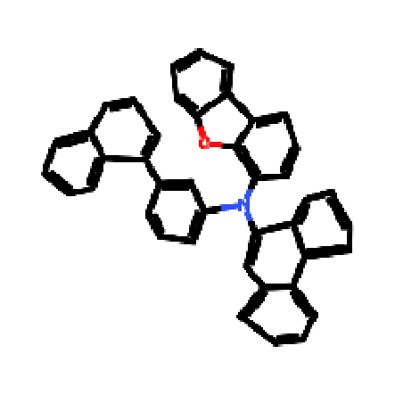 c1cc(-c2cccc3ccccc23)cc(N(c2cc3ccccc3c3ccccc23)c2cccc3c2oc2ccccc23)c1